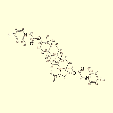 C=C(C)[C@@H]1CC[C@]2(COC(=O)C[n+]3ccc(C)cc3C)CC[C@]3(C)C(CCC4[C@@]5(C)CC[C@H](OC(=O)C[n+]6ccc(C)cc6C)C(C)(C)C5CC[C@]43C)C12